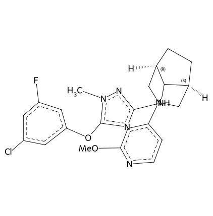 COc1cc(N2C[C@H]3CC[C@@H](C2)C3Nc2nc(Oc3cc(F)cc(Cl)c3)n(C)n2)ccn1